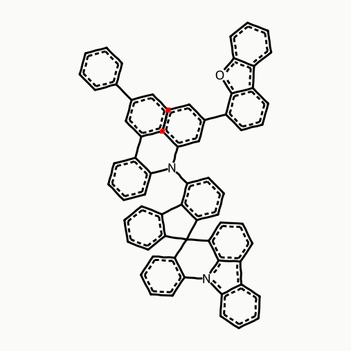 c1ccc(-c2cccc(-c3ccccc3N(c3cccc(-c4cccc5c4oc4ccccc45)c3)c3cccc4c3-c3ccccc3C43c4ccccc4-n4c5ccccc5c5cccc3c54)c2)cc1